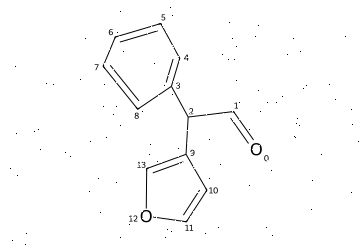 O=CC(c1ccccc1)c1ccoc1